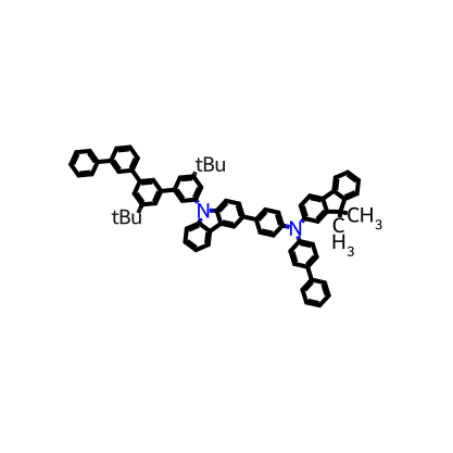 CC(C)(C)c1cc(-c2cccc(-c3ccccc3)c2)cc(-c2cc(-n3c4ccccc4c4cc(-c5ccc(N(c6ccc(-c7ccccc7)cc6)c6ccc7c(c6)C(C)(C)c6ccccc6-7)cc5)ccc43)cc(C(C)(C)C)c2)c1